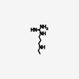 CCNCCCNC(=N)N